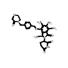 Bc1c(B)c(OCc2ccc(CN3CCOCC3=O)cc2)c2c(c1B)C(=O)N(C1CCC(=O)NC1=O)C2B